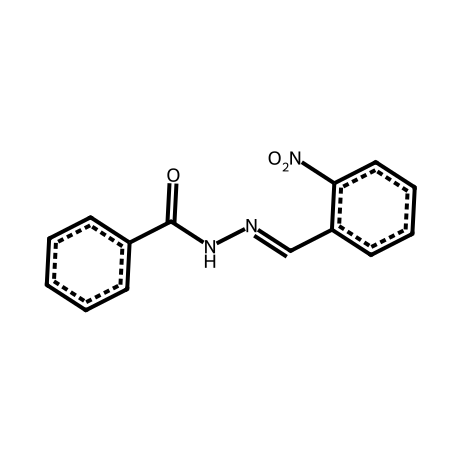 O=C(NN=Cc1ccccc1[N+](=O)[O-])c1ccccc1